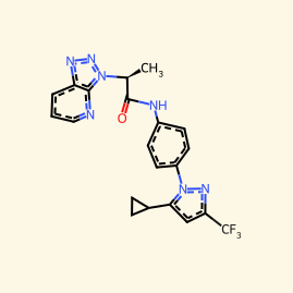 C[C@@H](C(=O)Nc1ccc(-n2nc(C(F)(F)F)cc2C2CC2)cc1)n1nnc2cccnc21